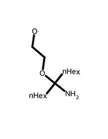 CCCCCCC(N)(CCCCCC)OCC[O]